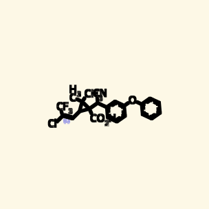 CC1(C)C(/C=C(/Cl)C(F)(F)F)C1(C(=O)O)C(C#N)c1cccc(Oc2ccccc2)c1